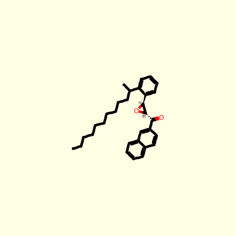 CCCCCCCCCCC(C)c1ccccc1[C@@H]1O[C@H]1C(=O)c1ccc2ccccc2c1